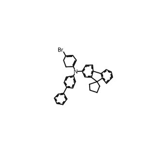 BrC1=CC=C(N(c2ccc(-c3ccccc3)cc2)c2ccc3c(c2)C2(CCCC2)c2ccccc2-3)CC1